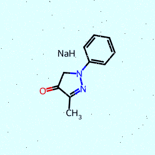 CC1=NN(c2ccccc2)CC1=O.[NaH]